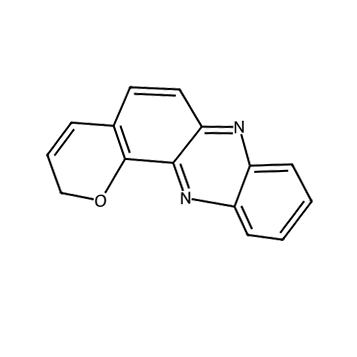 C1=Cc2ccc3nc4ccccc4nc3c2OC1